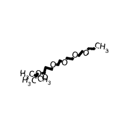 CCCOCCOCCOCCOCCC(=O)OC(C)(C)C